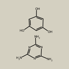 Nc1nc(N)nc(N)n1.Oc1cc(O)cc(O)c1